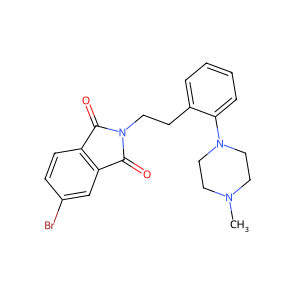 CN1CCN(c2ccccc2CCN2C(=O)c3ccc(Br)cc3C2=O)CC1